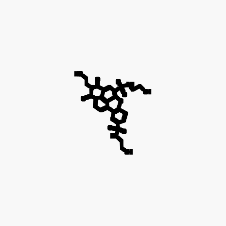 O=c1c2ccc3c4cc(S(=O)(=O)NCCO)ccc4oc4c(S(=O)(=O)NCCO)cc(c(=O)n1CCO)c2c43